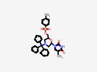 Cc1ccc(S(=O)(=O)OCC2CN(C(c3ccccc3)(c3ccccc3)c3ccccc3)CC(n3cc(C)c(=O)[nH]c3=O)O2)cc1